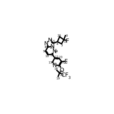 CC1(F)CC(c2nnc3ccc(-c4cnc(OC(C)(C)C(F)(F)F)c(F)c4)nn23)C1